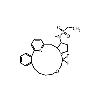 CCS(=O)(=O)NC1CCN2C1Cc1cccc(n1)-c1ccccc1CCCCOCC2(F)F